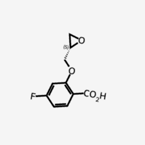 O=C(O)c1ccc(F)cc1OC[C@@H]1CO1